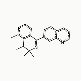 Cc1cccc2c1C(C)C(C)(C)N=C2c1ccc2cccnc2c1